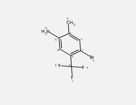 Cc1cc(Br)c(C(F)(F)F)cc1N